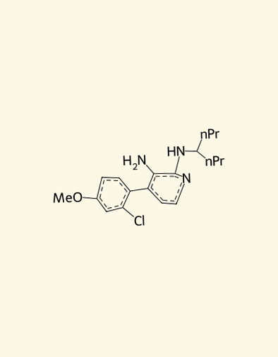 CCCC(CCC)Nc1nccc(-c2ccc(OC)cc2Cl)c1N